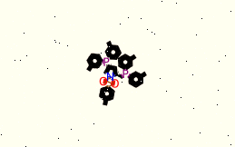 Cc1ccc(S(=O)(=O)N2C[C@@H](P(c3cccc(C)c3)c3cccc(C)c3)C[C@H]2CP(c2cccc(C)c2)c2cccc(C)c2)cc1